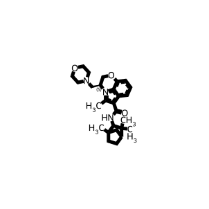 Cc1c(C(=O)NC2C3(C)CCC(C3)C2(C)C)c2cccc3c2n1[C@@H](CN1CCOCC1)CO3